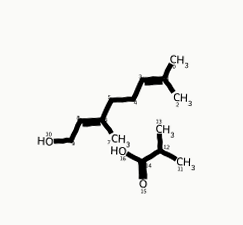 CC(C)=CCC/C(C)=C/CO.CC(C)C(=O)O